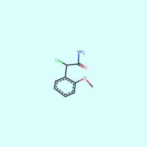 COc1ccccc1C(Cl)C(N)=O